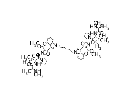 CN[C@@H](C)C(=O)N[C@H](C(=O)N1CCC[C@H]1c1nc(C(=O)OC)c(-c2cn(CCCCCCn3cc(-c4oc([C@@H]5CCCN5C(=O)[C@@H](NC(=O)[C@H](C)NC)C(C)(C)C)nc4C(=O)OC)c4ccccc43)c3ccccc23)o1)C(C)(C)C